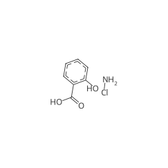 NCl.O=C(O)c1ccccc1O